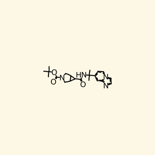 CC(C)(C)OC(=O)N1CC2C(C1)C2C(=O)NC(C)(C)c1ccn2ccnc2c1